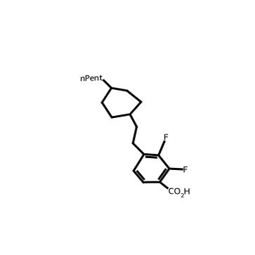 CCCCCC1CCC(CCc2ccc(C(=O)O)c(F)c2F)CC1